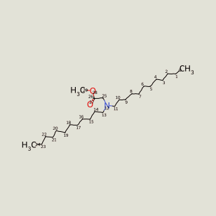 CCCCCCCCCCCCN(CCCCCCCCCCCC)CC(=O)OC